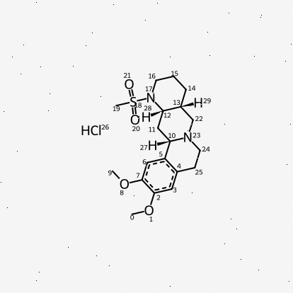 COc1cc2c(cc1OC)[C@@H]1C[C@H]3[C@H](CCCN3S(C)(=O)=O)CN1CC2.Cl